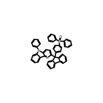 O=P(c1ccccc1)(c1ccccc1)c1ccc(C2(c3ccc4c(n3)c3ccccc3n4-c3ccccc3)c3ccccc3-c3ccccc32)cc1